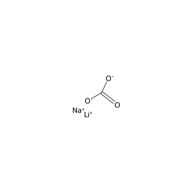 O=C([O-])[O-].[Li+].[Na+]